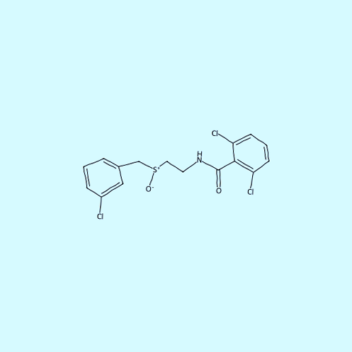 O=C(NCC[S+]([O-])Cc1cccc(Cl)c1)c1c(Cl)cccc1Cl